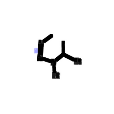 CCC(C)N(CC)/N=N\C